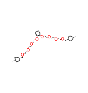 Cc1ccc(COCCOCCOCCOc2ccccc2OCCOCCOCCOCc2ccc(C)cc2)cc1